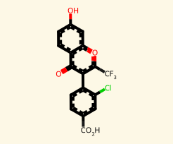 O=C(O)c1ccc(-c2c(C(F)(F)F)oc3cc(O)ccc3c2=O)c(Cl)c1